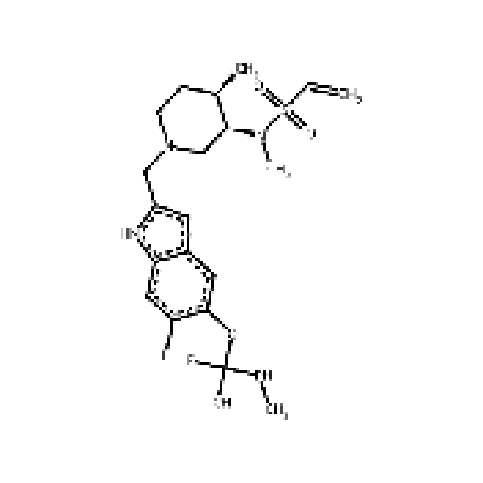 C=CS(=O)(=O)N(C)[C@H]1CN(Cc2cc3cc(OC(C)(F)PC)c(F)cc3[nH]2)CC[C@H]1C